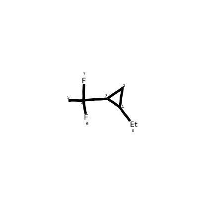 CCC1CC1C(C)(F)F